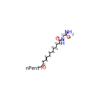 CCCCCC1OC1CC=CCCCCCCCC(=O)NCC(N)=O